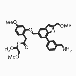 COCc1cc2cc(COc3cc(OC)ccc3CC(=O)OC(C)COC)cc(-c3cccc(CN)c3)c2o1